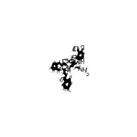 NCC[C@H](NC(=O)[C@@H]1Cc2cc[c]cc2CN1C(=O)CCC(=O)c1ccccc1)C(=O)Nc1ccc(Cl)c(Cl)c1F